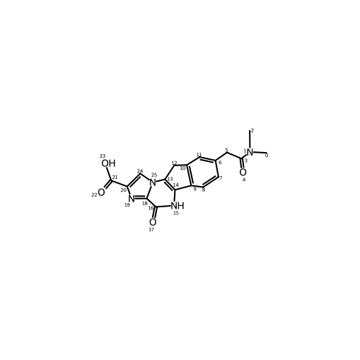 CN(C)C(=O)Cc1ccc2c(c1)Cc1c-2[nH]c(=O)c2nc(C(=O)O)cn12